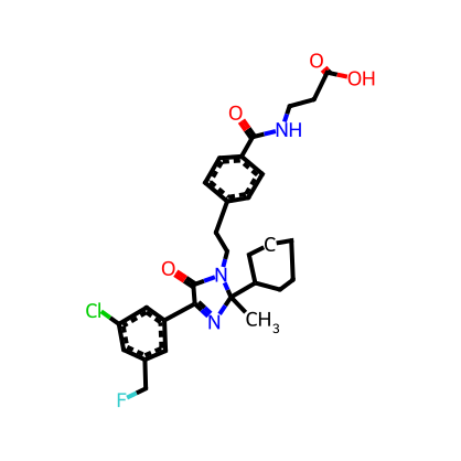 CC1(C2CCCCC2)N=C(c2cc(Cl)cc(CF)c2)C(=O)N1CCc1ccc(C(=O)NCCC(=O)O)cc1